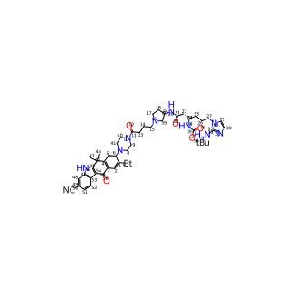 CCc1cc2c(cc1N1CCN(C(=O)CCCN3CC[C@@H](NC(=O)C[C@H](CCCn4ccnc4N)NC(=O)OC(C)(C)C)C3)CC1)C(C)(C)c1[nH]c3cc(C#N)ccc3c1C2=O